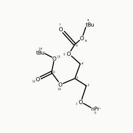 CC[CH]OCC(COC(=O)OC(C)(C)C)OC(=O)OC(C)(C)C